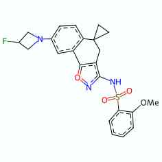 COc1ccccc1S(=O)(=O)Nc1noc2c1CC1(CC1)c1ccc(N3CC(F)C3)cc1-2